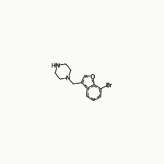 Brc1cccc2c(CN3CCNCC3)coc12